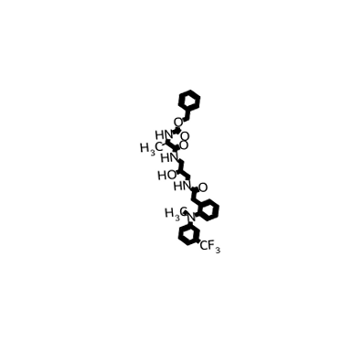 C[C@H](NC(=O)OCc1ccccc1)C(=O)NCC(O)CNC(=O)Cc1ccccc1N(C)c1cccc(C(F)(F)F)c1